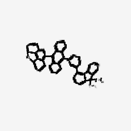 CC1(C)c2ccccc2-c2c(-c3cccc(-c4c5ccccc5c(-c5cc6cccc7oc8cccc5c8c67)c5ccccc45)c3)cccc21